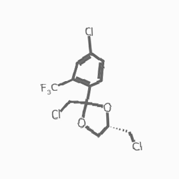 FC(F)(F)c1cc(Cl)ccc1C1(CCl)OC[C@@H](CCl)O1